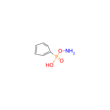 NOP(=O)(O)c1ccccc1